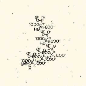 O=C([O-])CC(O)(CC(=O)O[O-])C(=O)[O-].O=C([O-])CC(O)(CC(=O)O[O-])C(=O)[O-].O=C([O-])CC(O)(CC(=O)O[O-])C(=O)[O-].O=C([O-])CC(O)(CC(=O)O[O-])C(=O)[O-].O=C([O-])CC(O)(CC(=O)O[O-])C(=O)[O-].[Nb+5].[Nb+5].[Nb+5]